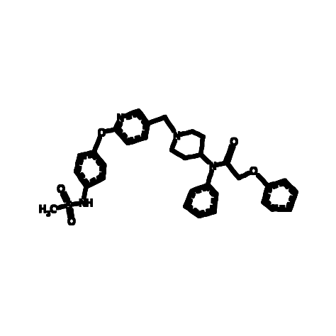 CS(=O)(=O)Nc1ccc(Oc2ccc(CN3CCC(N(C(=O)COc4ccccc4)c4ccccc4)CC3)cn2)cc1